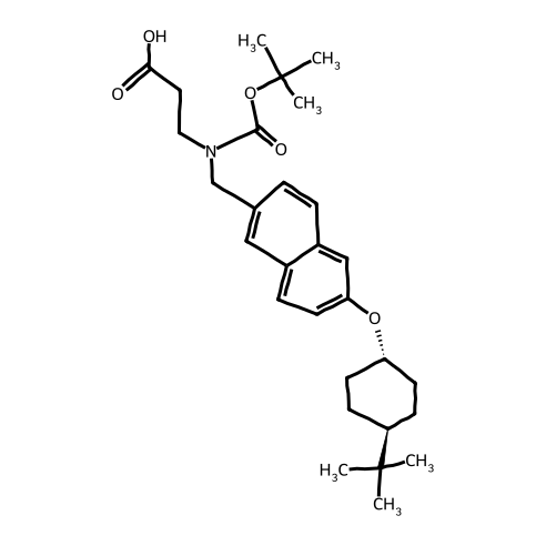 CC(C)(C)OC(=O)N(CCC(=O)O)Cc1ccc2cc(O[C@H]3CC[C@H](C(C)(C)C)CC3)ccc2c1